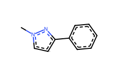 Cn1c[c]c(-c2ccccc2)n1